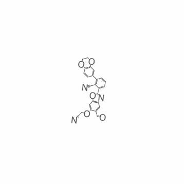 N#CCOc1cc2oc(-c3cccc(-c4ccc5c(c4)OCCO5)c3C#N)nc2cc1C=O